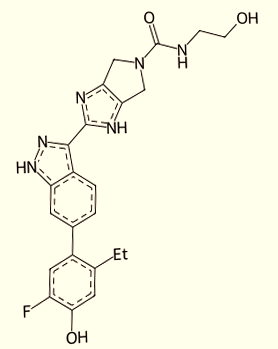 CCc1cc(O)c(F)cc1-c1ccc2c(-c3nc4c([nH]3)CN(C(=O)NCCO)C4)n[nH]c2c1